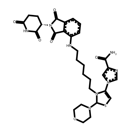 NC(=O)c1cn(C2=CSC(N3CCOCC3)N2CCCCCCNc2cccc3c2C(=O)N([C@H]2CCC(=O)NC2=O)C3=O)cn1